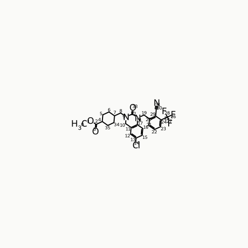 COC(=O)C1CCC(CN2Cc3cc(Cl)ccc3N(Cc3cccc(C(F)(F)F)c3C#N)C2=O)CC1